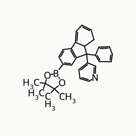 CC1(C)OB(c2ccc3c(c2)C(c2ccccc2)(c2cccnc2)C2CC=CC=C32)OC1(C)C